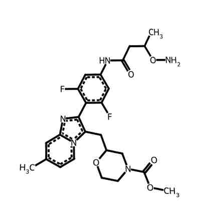 COC(=O)N1CCOC(Cc2c(-c3c(F)cc(NC(=O)CC(C)ON)cc3F)nc3cc(C)ccn23)C1